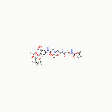 CC(=O)OC1C(Oc2ccc(NC(=O)CN(CCNC(=O)CONC(=O)OC(C)(C)C)S(C)(=O)=O)cc2CO)OC(C)C(C)C1C